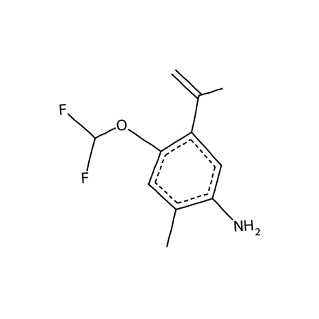 C=C(C)c1cc(N)c(C)cc1OC(F)F